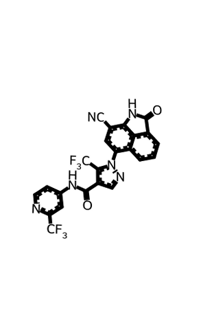 N#Cc1cc(-n2ncc(C(=O)Nc3ccnc(C(F)(F)F)c3)c2C(F)(F)F)c2cccc3c2c1NC3=O